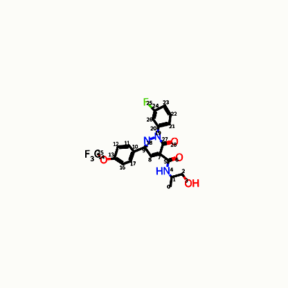 CC(CO)NC(=O)c1cc(-c2ccc(OC(F)(F)F)cc2)nn(-c2cccc(F)c2)c1=O